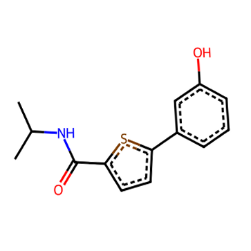 CC(C)NC(=O)c1ccc(-c2cccc(O)c2)s1